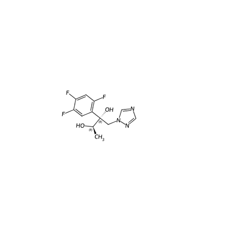 C[C@@H](O)[C@](O)(Cn1cncn1)c1cc(F)c(F)cc1F